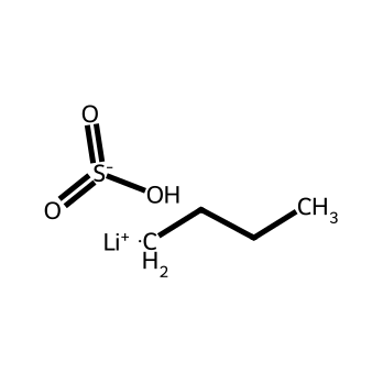 O=[S-](=O)O.[CH2]CCC.[Li+]